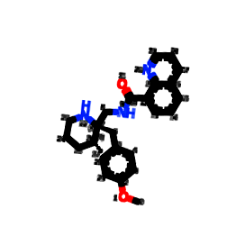 COc1ccc(C[C@]2(CNC(=O)c3cccc4cccnc34)NCCC[C@H]2C)cc1